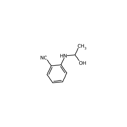 CC(O)Nc1ccccc1C#N